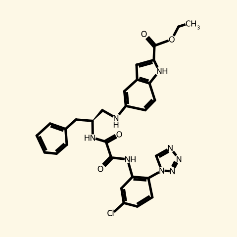 CCOC(=O)c1cc2cc(NC[C@H](Cc3ccccc3)NC(=O)C(=O)Nc3cc(Cl)ccc3-n3cnnn3)ccc2[nH]1